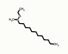 CCCCCCCCCCCCN(C)OCC